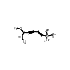 CCOC(C#CC=C[Si](C(C)C)(C(C)C)C(C)C)OCC